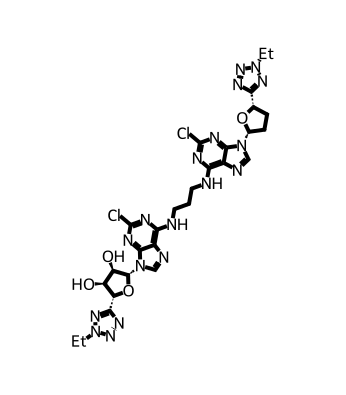 CCn1nnc([C@@H]2CC[C@H](n3cnc4c(NCCCNc5nc(Cl)nc6c5ncn6[C@@H]5O[C@H](c6nnn(CC)n6)[C@@H](O)[C@H]5O)nc(Cl)nc43)O2)n1